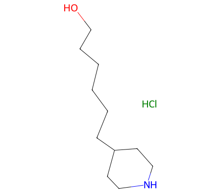 Cl.OCCCCCCC1CCNCC1